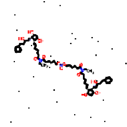 CCN(C(=O)CCCCC=C[C@@H]1[C@H](/C=C/[C@@H](O)CCc2ccccc2)[C@H](O)C[C@H]1O)C(=O)CCCCCO[N+](=O)OCCCCCC(=O)N(CC)C(=O)CCCCC=C[C@@H]1[C@H](/C=C/[C@@H](O)CCc2ccccc2)[C@H](O)C[C@H]1O